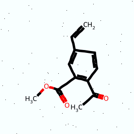 C=Cc1ccc(C(C)=O)c(C(=O)OC)c1